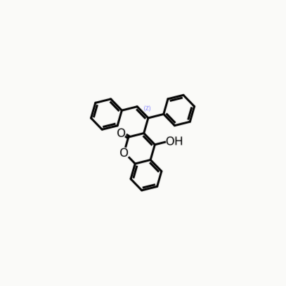 O=c1oc2ccccc2c(O)c1/C(=C\c1ccccc1)c1ccccc1